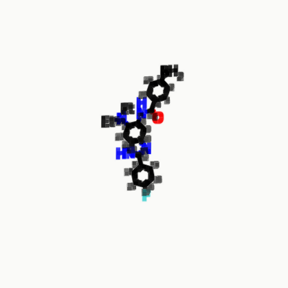 Bc1ccc(C(=O)Nc2cc3nc(-c4ccc(F)cc4)[nH]c3cc2N(CC)CC)cc1